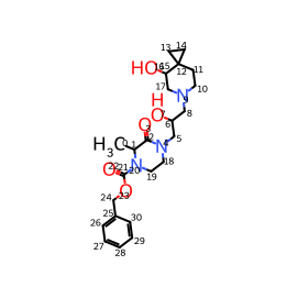 CC1C(=O)N(CC(O)CN2CCC3(CC3)C(O)C2)CCN1C(=O)OCc1ccccc1